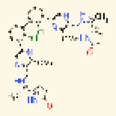 COc1nc(-c2cccc(-c3cccc(-c4cnc(CN[C@@H](C)[C@H]5CCC(=O)N5)c(OC)n4)c3Cl)c2Cl)cnc1CN[C@@H](C)[C@H]1CCC(=O)N1